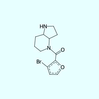 O=C(c1occc1Br)N1CCCC2NCCC21